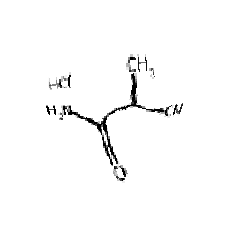 CC(C#N)C(N)=O.Cl